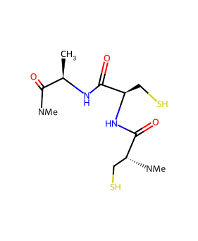 CNC(=O)[C@@H](C)NC(=O)[C@@H](CS)NC(=O)[C@@H](CS)NC